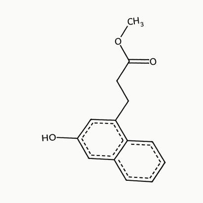 COC(=O)CCc1cc(O)cc2ccccc12